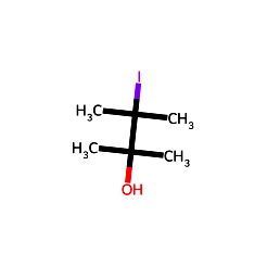 CC(C)(O)C(C)(C)I